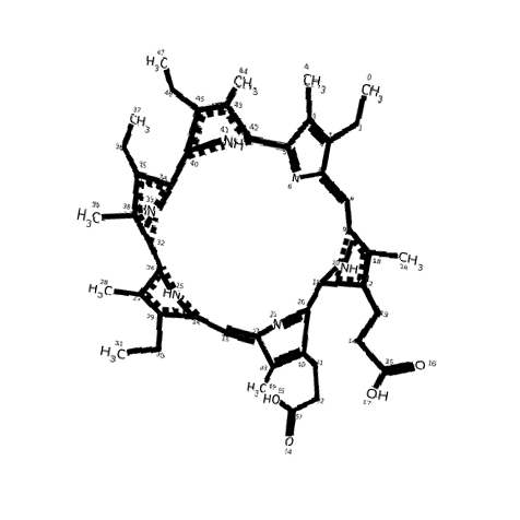 CCC1=C(C)C2=N/C1=C\c1[nH]c(c(CCC(=O)O)c1C)C1=N/C(=C\c3[nH]c(c(C)c3CC)-c3[nH]c(c(CC)c3C)-c3[nH]c2c(C)c3CC)C(C)=C1CCC(=O)O